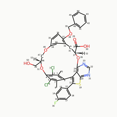 Cc1c(Cl)c2c(Cl)c(C)c1-c1c(-c3ccc(F)cc3)sc3ncnc(c13)O[C@@H](C(=O)O)Cc1cc(ccc1OCc1ccccc1)OC[C@@H](CO)O2